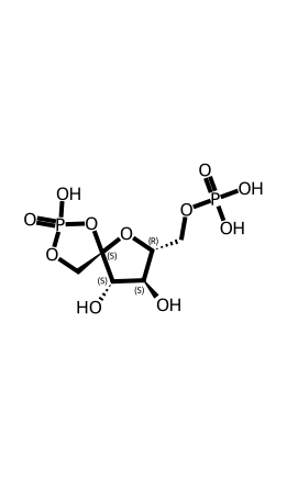 O=P(O)(O)OC[C@H]1O[C@]2(COP(=O)(O)O2)[C@@H](O)[C@@H]1O